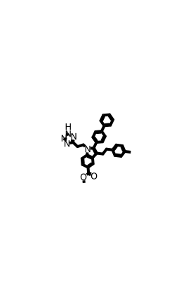 COC(=O)c1ccc2c(c1)c(CCc1ccc(C)cc1)c(-c1ccc(-c3ccccc3)cc1)n2CCc1nn[nH]n1